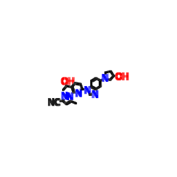 Cc1cc(C#N)nn1-c1nc(-n2cnc3cc(N4CCC(O)C4)ccc32)ccc1C(C)O